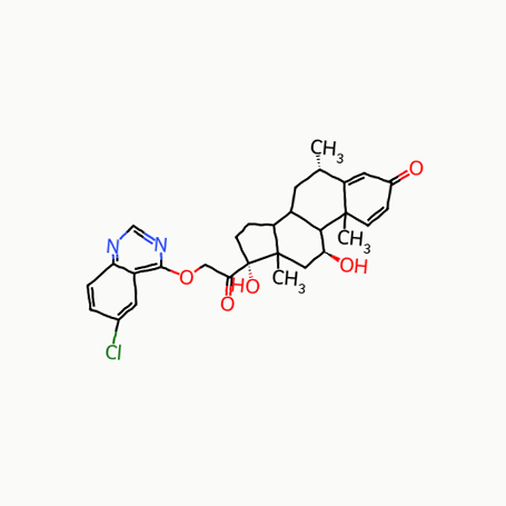 C[C@H]1CC2C([C@@H](O)CC3(C)C2CC[C@]3(O)C(=O)COc2ncnc3ccc(Cl)cc23)C2(C)C=CC(=O)C=C12